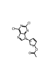 CC(=O)O[C@@H]1C=C[C@H](n2cnc3c(Cl)nc(Cl)nc32)C1